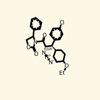 CCOC1CCC([C@H](c2ccc(Cl)cc2)[C@H](N=[N+]=[N-])C(=O)N2C(=O)OCC2c2ccccc2)CC1